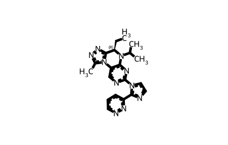 CC[C@@H]1c2nnc(C)n2-c2cnc(-n3ccnc3-c3cccnn3)nc2N1C(C)C